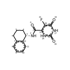 O=C(N[C@H]1CCCc2ccccc21)c1[nH]c(=O)[nH]c(=O)c1F